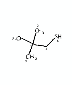 CC(C)([O])CS